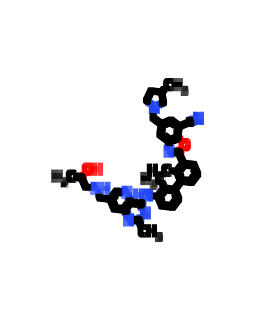 C=C(O)CNCc1cnc2c(Nc3cccc(-c4cccc(-c5nc6cc(CN7CCC(C)C7)cc(C#N)c6o5)c4C)c3C)nc(C)nc2c1